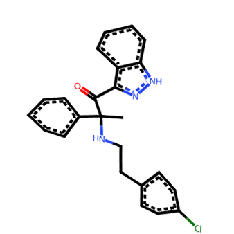 CC(NCCc1ccc(Cl)cc1)(C(=O)c1n[nH]c2ccccc12)c1ccccc1